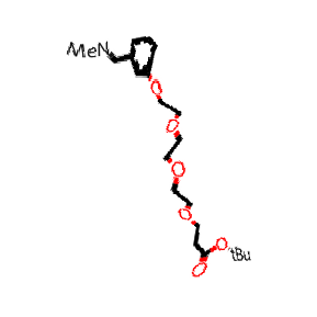 CNCc1cccc(OCCOCCOCCOCCC(=O)OC(C)(C)C)c1